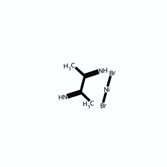 CC(=N)C(C)=N.[Br][Ni][Br]